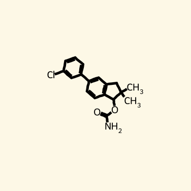 CC1(C)Cc2cc(-c3cccc(Cl)c3)ccc2C1OC(N)=O